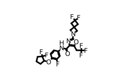 O=C(Nc1ccc(OC2CCCC2(F)F)c(F)c1)c1nc(N2CC3(C2)CC(F)(F)C3)oc1CC(F)(F)F